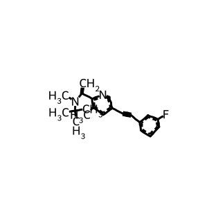 C=C(c1ncc(C#Cc2cccc(F)c2)cc1C)N(C)C(C)(C)C